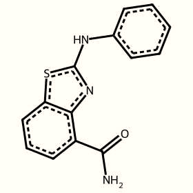 NC(=O)c1cccc2sc(Nc3ccccc3)nc12